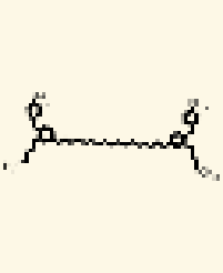 CCCCCc1cc(CCCCCCCCCCCCCCCCCc2ccc(Cc3ccc(N)cc3)c(CCCCC)c2)ccc1Cc1ccc(N)cc1